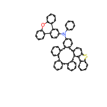 c1ccc(N(c2ccc3c(c2)-c2ccccc2Oc2ccccc2-3)c2ccc3c(c2)c2ccccc2c2ccccc2c2ccccc2c2c3ccc3sc4ccccc4c32)cc1